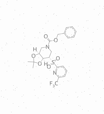 CC1(C)O[C@H]2[C@H](CN(C(=O)OCc3ccccc3)C[C@@H]2S(=O)(=O)c2cccc(C(F)(F)F)n2)O1